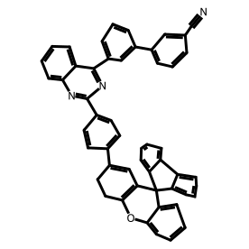 N#Cc1cccc(-c2cccc(-c3nc(-c4ccc(C5=CC6=C(CC5)Oc5ccccc5C65c6ccccc6-c6ccccc65)cc4)nc4ccccc34)c2)c1